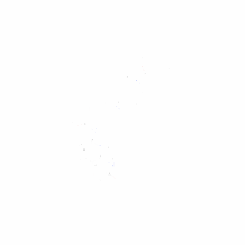 CC(C)(C)OC(=O)N1CCC(NC[C@@H]2CN(c3ccc4c(n3)NC(=O)CO4)C(=O)O2)CC1